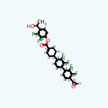 CC(O)c1ccc(OC(=O)C2=CCC(c3ccc(-c4ccc(C5CO5)c(F)c4F)c(F)c3F)CC2)c(F)c1F